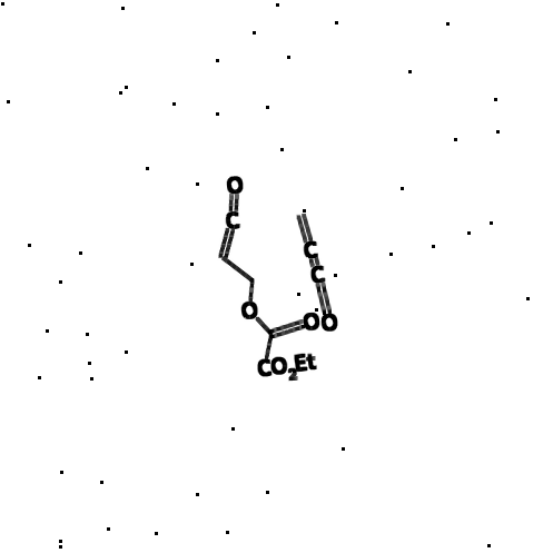 C=C=C=O.CCOC(=O)C(=O)OCC=C=O